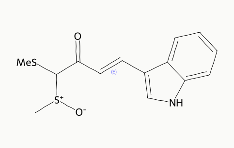 CSC(C(=O)/C=C/c1c[nH]c2ccccc12)[S+](C)[O-]